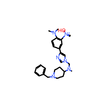 C=[N+](O)c1cc(-c2cn(CN(C)C3CCN(Cc4ccccc4)CC3)cn2)ccc1N(C)C